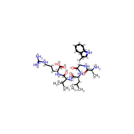 CC(C)C[C@H](NC(=O)[C@H](Cc1c[nH]c2ccccc12)NC(=O)[C@H](C)N)C(=O)N[C@H](C(=O)N[C@@H](CCCNC(=N)N)C(=O)O)C(C)C